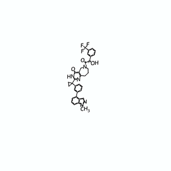 Cn1ncc2c(-c3cccc(C4(c5nc6c(c(=O)[nH]5)CN(C(=O)[C@H](O)c5cccc(C(F)(F)F)c5)CCC6)CC4)c3)cccc21